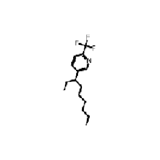 CCCCCCC(CC)c1ccc(C(F)(F)F)nc1